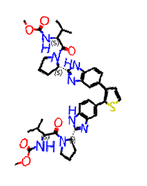 COC(=O)N[C@H](C(=O)N1CCC[C@H]1c1nc2cc(-c3ccsc3-c3ccc4[nH]c([C@@H]5CCCN5C(=O)[C@@H](NC(=O)OC)C(C)C)nc4c3)ccc2[nH]1)C(C)C